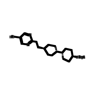 CCCCCCC[C@H]1CC[C@H]([C@H]2CC[C@H](CCc3ncc(CCC)cn3)CC2)CC1